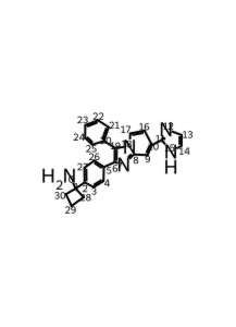 NC1(c2ccc(-c3nc4cc(-c5ncc[nH]5)ccn4c3-c3ccccc3)cc2)CCC1